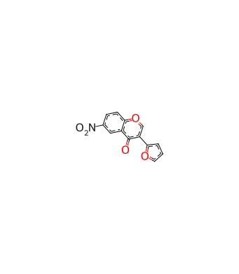 O=c1c(-c2ccco2)coc2ccc([N+](=O)[O-])cc12